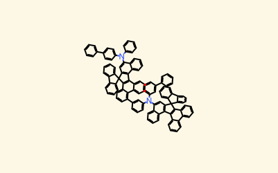 c1ccc(-c2ccc(N(c3ccccc3)c3cc4c(c5ccccc35)-c3c(c5cccc(-c6cccc(N(c7cccc(-c8ccccc8)c7)c7cc8c(c9ccccc79)-c7c(c9ccccc9c9ccccc79)C87c8ccccc8-c8ccccc87)c6)c5c5ccccc35)C43c4ccccc4-c4ccccc43)cc2)cc1